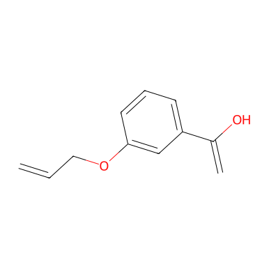 C=CCOc1cccc(C(=C)O)c1